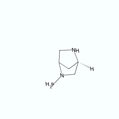 PN1C[C@H]2CC1CN2